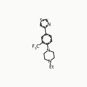 CCN1CCN(c2ccc(-c3cs[c]n3)cc2C(F)(F)F)CC1